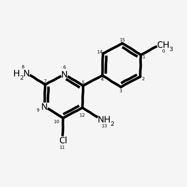 Cc1ccc(-c2nc(N)nc(Cl)c2N)cc1